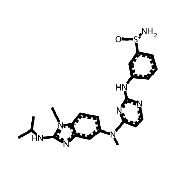 CC(C)Nc1nc2cc(N(C)c3ccnc(Nc4cccc([S+](N)[O-])c4)n3)ccc2n1C